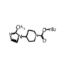 CCCCOC(=O)N1CCC(n2ccnc2C)CC1